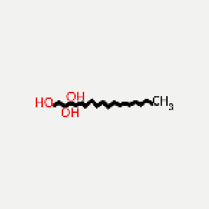 CCCCCCCCCCCCCCCCC(O)C(O)CCO